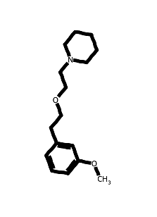 COc1cccc(CCOCCN2CC[CH]CC2)c1